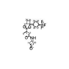 C=C(CC(=O)NC1C[S+]([O-])C1)C(=O)OC1(c2ccc(C(F)(F)F)cc2)CCC1